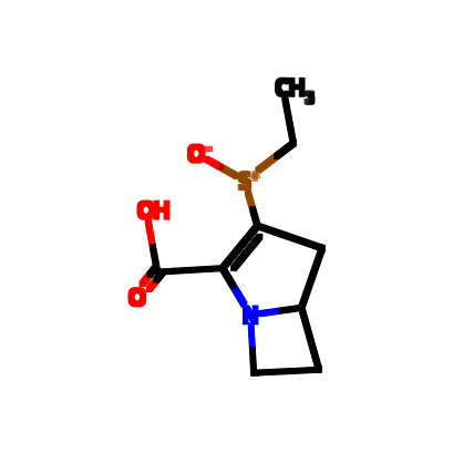 CC[S+]([O-])C1=C(C(=O)O)N2CCC2C1